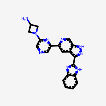 NC1CN(c2cncc(-c3cc4c(-c5nc6ccccc6[nH]5)n[nH]c4cn3)n2)C1